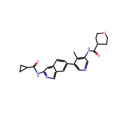 Cc1c(NC(=O)C2CCOCC2)cncc1-c1ccc2cc(NC(=O)C3CC3)ncc2c1